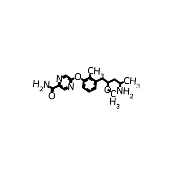 COC(Cc1cccc(Oc2cnc(C(N)=O)cn2)c1C)CC(C)N